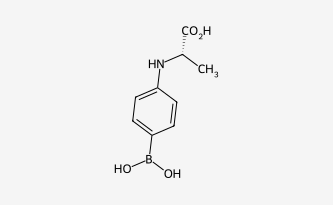 C[C@H](Nc1ccc(B(O)O)cc1)C(=O)O